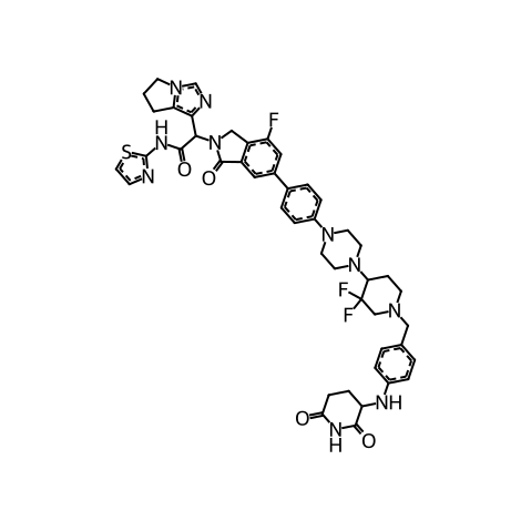 O=C1CCC(Nc2ccc(CN3CCC(N4CCN(c5ccc(-c6cc(F)c7c(c6)C(=O)N(C(C(=O)Nc6nccs6)c6ncn8c6CCC8)C7)cc5)CC4)C(F)(F)C3)cc2)C(=O)N1